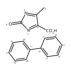 CC1=NC(=O)N=C1C(=O)O.c1ccc(-c2ccccc2)cc1